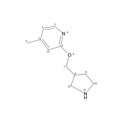 Cc1ccnc(OCC2CCNC2)c1